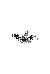 CS(=O)(=O)NCCC(NC(=O)C1(NC(=O)O)CCN(c2ncnc3[nH]ccc23)CC1)c1ccc(Cl)cc1